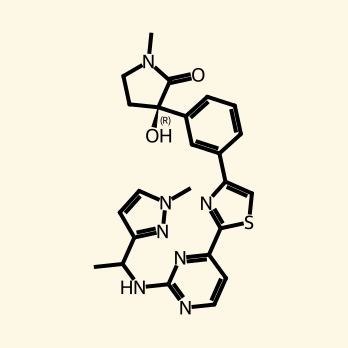 CC(Nc1nccc(-c2nc(-c3cccc([C@]4(O)CCN(C)C4=O)c3)cs2)n1)c1ccn(C)n1